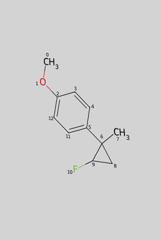 COc1ccc(C2(C)CC2F)cc1